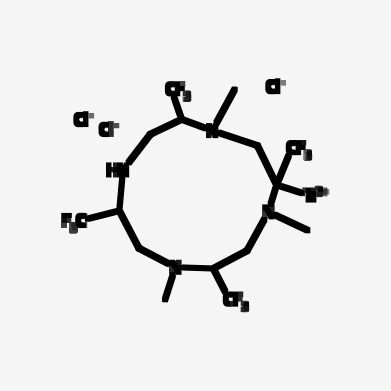 CN1CC(C(F)(F)F)NCC(C(F)(F)F)N(C)C[C]([Ti+3])(C(F)(F)F)N(C)CC1C(F)(F)F.[Cl-].[Cl-].[Cl-]